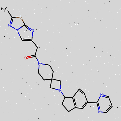 Cc1nn2cc(CC(=O)N3CCC4(CC3)CN(C3CCc5cc(-c6ncccn6)ccc53)C4)nc2s1